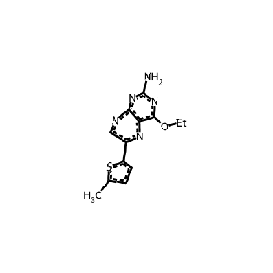 CCOc1nc(N)nc2ncc(-c3ccc(C)s3)nc12